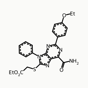 CCOC(=O)CSc1nc2c(C(N)=O)nc(-c3ccc(OCC)cc3)nc2n1-c1ccccc1